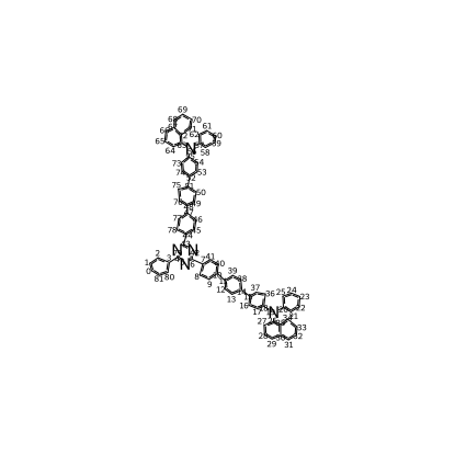 c1ccc(-c2nc(-c3ccc(-c4ccc(-c5ccc(N(c6ccccc6)c6cccc7ccccc67)cc5)cc4)cc3)nc(-c3ccc(-c4ccc(-c5ccc(N(c6ccccc6)c6cccc7ccccc67)cc5)cc4)cc3)n2)cc1